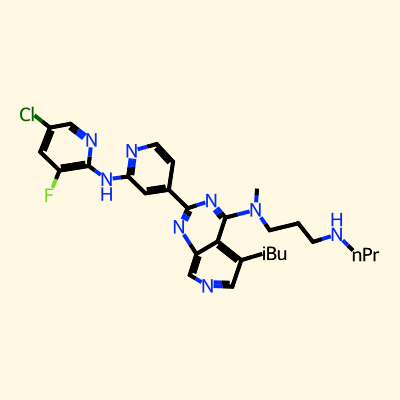 CCCNCCCN(C)c1nc(-c2ccnc(Nc3ncc(Cl)cc3F)c2)nc2cncc(C(C)CC)c12